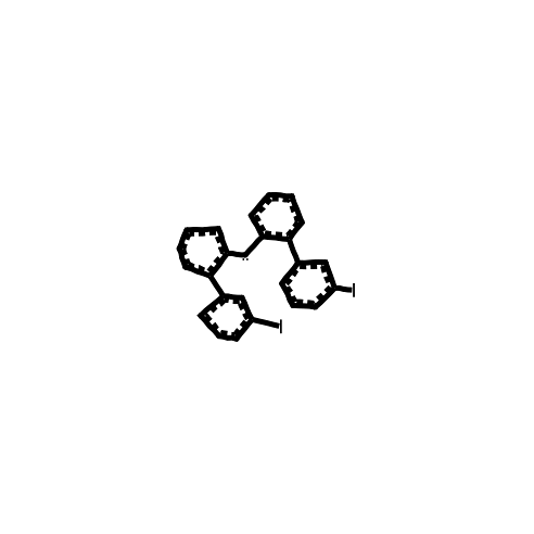 Ic1cccc(-c2ccccc2[C]c2ccccc2-c2cccc(I)c2)c1